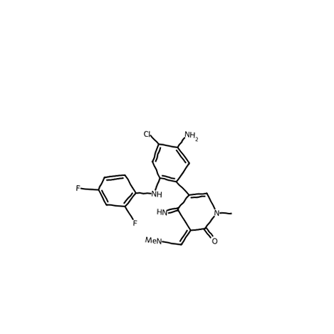 CN/C=C1\C(=N)C(c2cc(N)c(Cl)cc2Nc2ccc(F)cc2F)=CN(C)C1=O